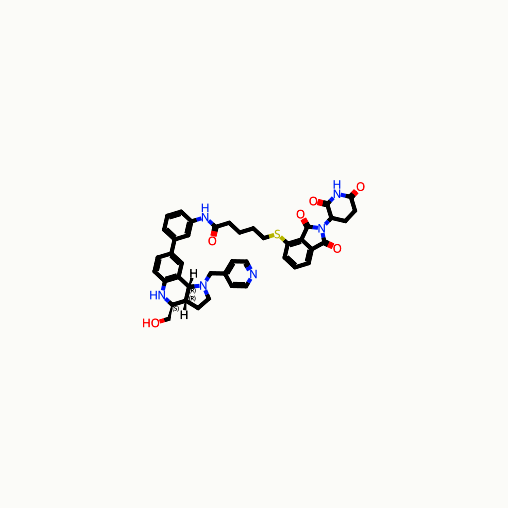 O=C1CCC(N2C(=O)c3cccc(SCCCCC(=O)Nc4cccc(-c5ccc6c(c5)[C@H]5[C@H](CCN5Cc5ccncc5)[C@@H](CO)N6)c4)c3C2=O)C(=O)N1